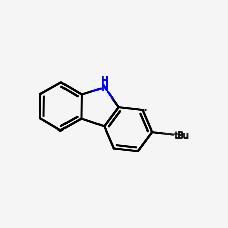 CC(C)(C)c1[c]c2[nH]c3ccccc3c2cc1